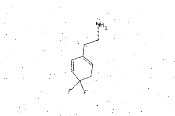 NCCC1=CCC(F)(F)C=C1